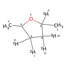 [2H]C1(C)OC(C)C([2H])([2H])C1([2H])[2H]